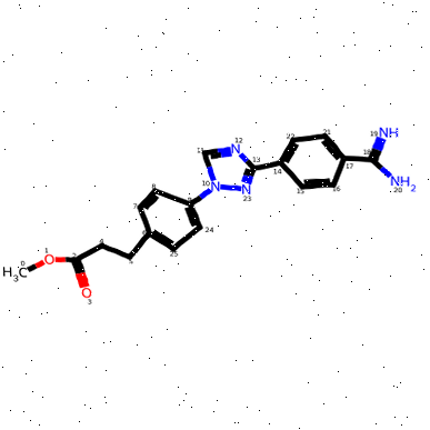 COC(=O)CCc1ccc(-n2cnc(-c3ccc(C(=N)N)cc3)n2)cc1